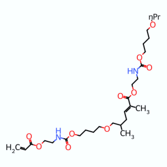 C=CC(=O)OCCNC(=O)OCCCCOCC(C)C/C=C(\C)C(=O)OCCNC(=O)OCCCCOCCC